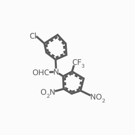 O=CN(c1cccc(Cl)c1)c1c([N+](=O)[O-])cc([N+](=O)[O-])cc1C(F)(F)F